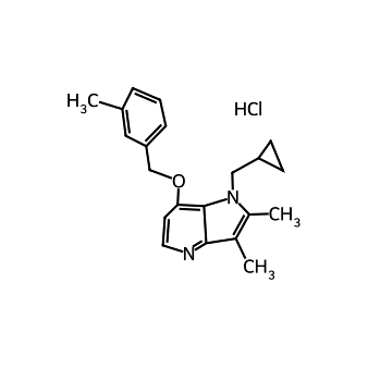 Cc1cccc(COc2ccnc3c(C)c(C)n(CC4CC4)c23)c1.Cl